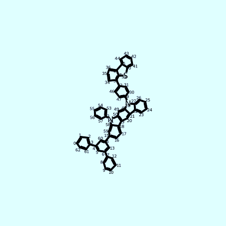 c1ccc(-c2cc(-c3ccccc3)cc(-c3ccc4c5cc6c7ccccc7n(-c7ccc(-c8cccc9c8sc8ccccc89)cc7)c6cc5n(-c5ccccc5)c4c3)c2)cc1